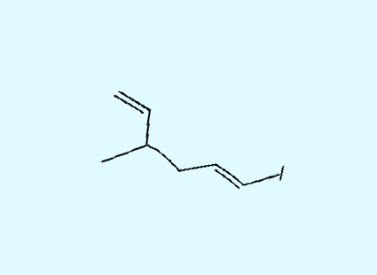 C=CC(C)C/C=C/I